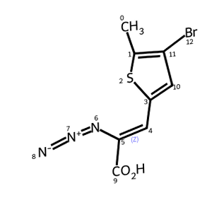 Cc1sc(/C=C(\N=[N+]=[N-])C(=O)O)cc1Br